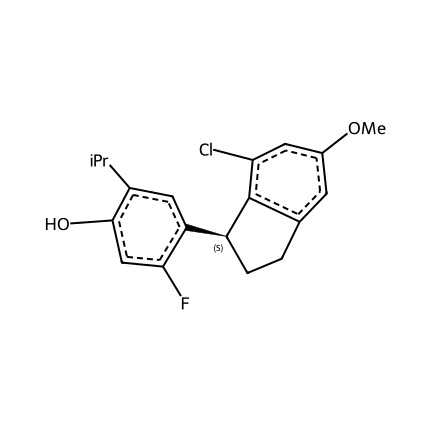 COc1cc(Cl)c2c(c1)CC[C@H]2c1cc(C(C)C)c(O)cc1F